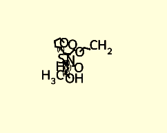 C=CCOC(=O)C1=C([C@H]2CCCO2)S[C@@H]2[C@@H]([C@@H](C)O)C(=O)N12